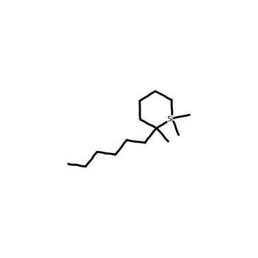 CCCCCCC1(C)CCCC[Si]1(C)C